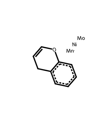 C1=COc2ccccc2C1.[Mn].[Mo].[Ni]